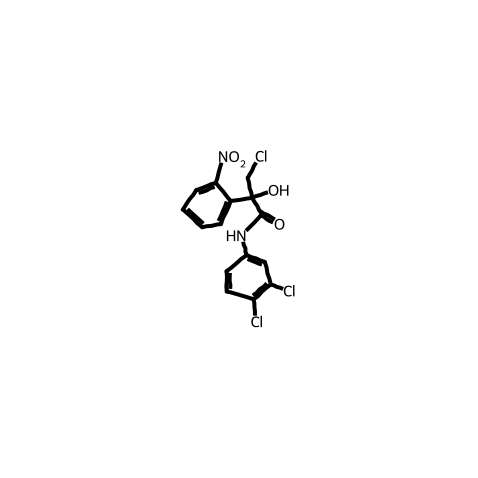 O=C(Nc1ccc(Cl)c(Cl)c1)C(O)(CCl)c1ccccc1[N+](=O)[O-]